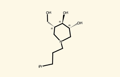 CC(C)CCCN1C[C@H](CO)[C@@H](O)[C@H](O)C1